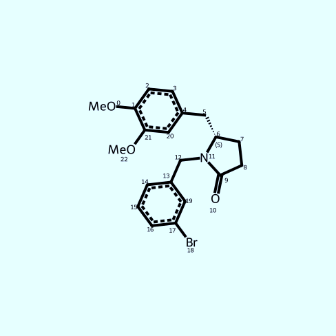 COc1ccc(C[C@@H]2CCC(=O)N2Cc2cccc(Br)c2)cc1OC